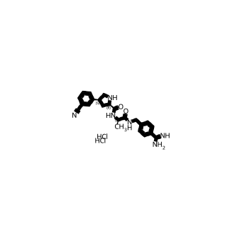 C[C@H](NC(=O)[C@H]1C[C@@H](c2cccc(C#N)c2)CN1)C(=O)NCc1ccc(C(=N)N)cc1.Cl.Cl